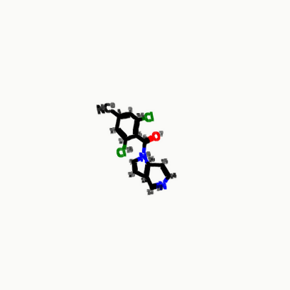 N#Cc1cc(Cl)c(C(=O)n2ccc3cnccc32)c(Cl)c1